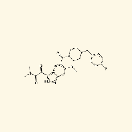 COc1cc2n[nH]c(C(=O)C(=O)N(C)C)c2cc1C(=O)N1CCC(Cc2ccc(F)cc2)CC1